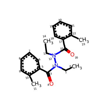 CCN(C(=O)c1ccccc1C)N(CC)C(=O)c1ccccc1C